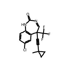 CC1(C#CC2(C(F)(F)F)C=NC(=O)Nc3ccc(Cl)cc32)CC1